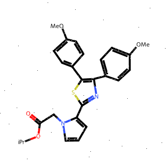 COc1ccc(-c2nc(-c3cccn3CC(=O)OC(C)C)sc2-c2ccc(OC)cc2)cc1